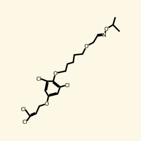 CC(C)O/N=C/COCCCCCOc1c(Cl)cc(OCC=C(Cl)Cl)cc1Cl